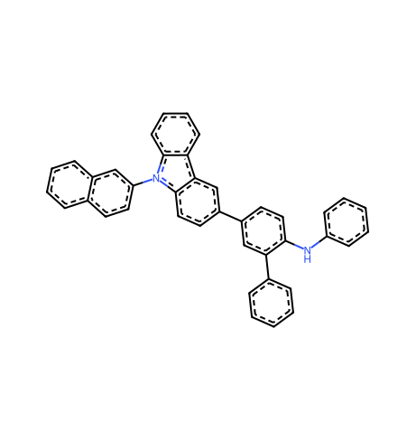 c1ccc(Nc2ccc(-c3ccc4c(c3)c3ccccc3n4-c3ccc4ccccc4c3)cc2-c2ccccc2)cc1